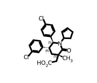 C[C@@]1(CC(=O)O)C[C@H](c2cccc(Cl)c2)[C@@H](c2ccc(Cl)cc2)N(C2C=CCC2)C1=O